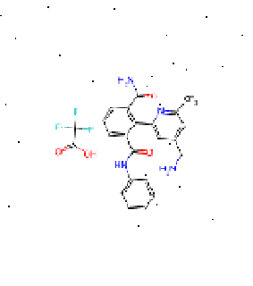 NCc1cc(-c2c(C(N)=O)cccc2C(=O)Nc2ccccc2)nc(C(F)(F)F)c1.O=C(O)C(F)(F)F